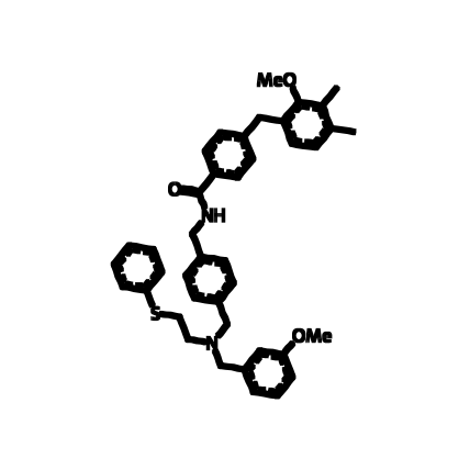 COc1cccc(CN(CCSc2ccccc2)Cc2ccc(CNC(=O)c3ccc(Cc4ccc(C)c(C)c4OC)cc3)cc2)c1